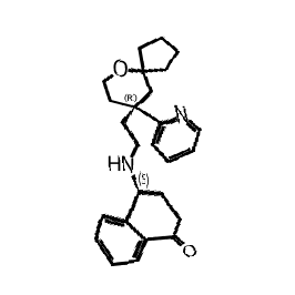 O=C1CC[C@H](NCC[C@@]2(c3ccccn3)CCOC3(CCCC3)C2)c2ccccc21